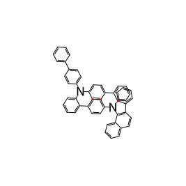 c1ccc(-c2ccc(N(c3ccc(-c4ccccc4)cc3)c3ccccc3-c3ccc(-n4c5ccccc5c5ccc6ccccc6c54)cc3)cc2)cc1